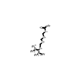 CCCC(=O)SCOCOCOP(N(C(C)C)C(C)C)N(C(C)C)C(C)C